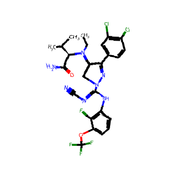 CCN(C1CN(C(=NC#N)Nc2cccc(OC(F)(F)F)c2F)N=C1c1ccc(Cl)c(Cl)c1)[C@@H](C(N)=O)C(C)C